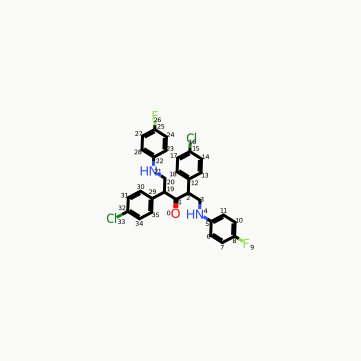 O=C(C(CNc1ccc(F)cc1)c1ccc(Cl)cc1)C(CNc1ccc(F)cc1)c1ccc(Cl)cc1